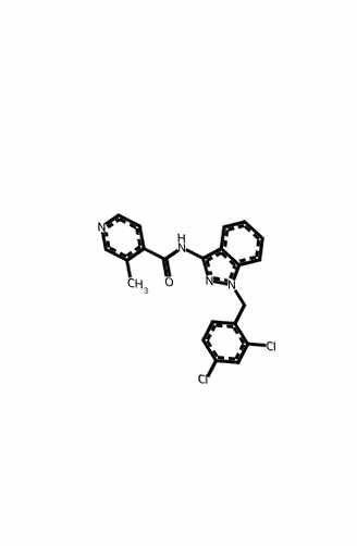 Cc1cnccc1C(=O)Nc1nn(Cc2ccc(Cl)cc2Cl)c2ccccc12